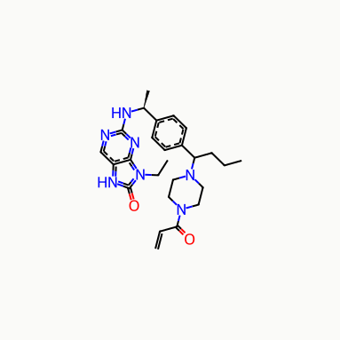 C=CC(=O)N1CCN(C(CCC)c2ccc([C@H](C)Nc3ncc4[nH]c(=O)n(CC)c4n3)cc2)CC1